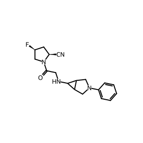 N#C[C@@H]1C[C@H](F)CN1C(=O)CNC1C2CN(c3ccccc3)CC21